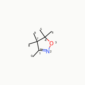 CC1=NOC(C)(C)C1(C)C